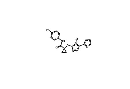 CCn1c(SC2(C(=O)Nc3ccc(C(C)C)cc3)CC2)nnc1-c1ccco1